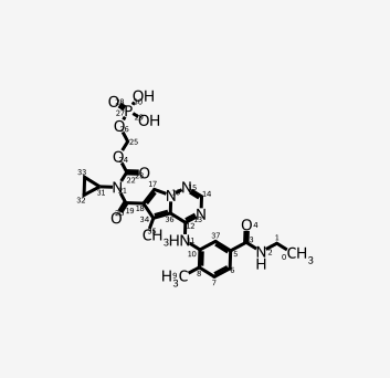 CCNC(=O)c1ccc(C)c(Nc2ncnn3cc(C(=O)N(C(=O)OCOP(=O)(O)O)C4CC4)c(C)c23)c1